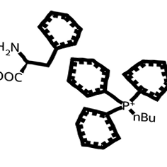 CCCC[P+](c1ccccc1)(c1ccccc1)c1ccccc1.N[C@@H](Cc1ccccc1)C(=O)[O-]